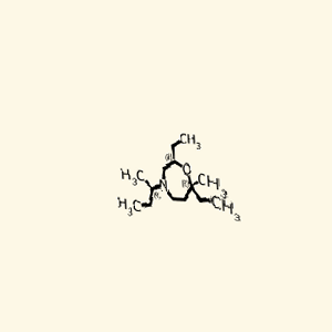 CC[C@@H]1CN([C@H](C)CC)CC[C@@](C)(CC)O1